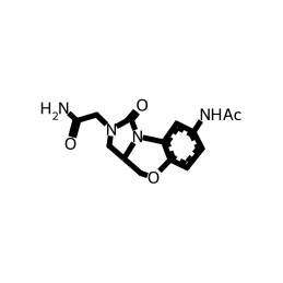 CC(=O)Nc1ccc2c(c1)N1C(=O)N(CC(N)=O)CC1CO2